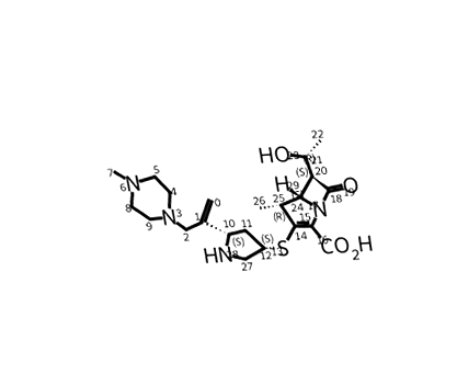 C=C(CN1CCN(C)CC1)[C@@H]1C[C@H](SC2=C(C(=O)O)N3C(=O)[C@H]([C@@H](C)O)[C@H]3[C@H]2C)CN1